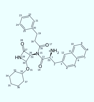 N[C@@H](Cc1ccc2ccccc2c1)C(=O)N(C(=O)CCc1ccccc1)[C@@H]1C(=O)NC1OC1CCCCC1